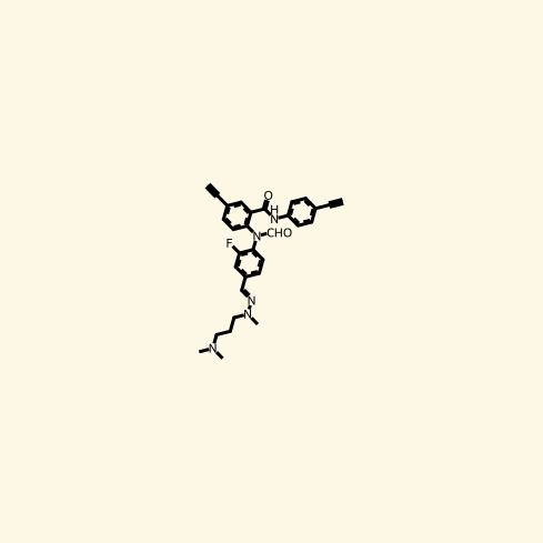 C#Cc1ccc(NC(=O)c2cc(C#C)ccc2N(C=O)c2ccc(C=NN(C)CCCN(C)C)cc2F)cc1